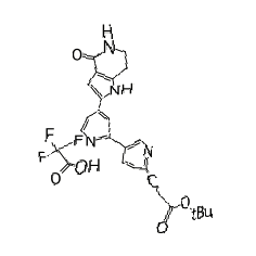 CC(C)(C)OC(=O)CCc1ccc(-c2cc(-c3cc4c([nH]3)CCNC4=O)ccn2)cn1.O=C(O)C(F)(F)F